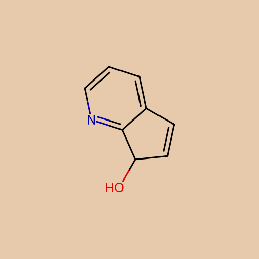 OC1C=Cc2cccnc21